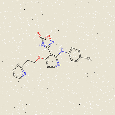 O=c1[nH]c(-c2c(OCCc3ccccn3)ccnc2Nc2ccc(C(F)(F)F)cc2)no1